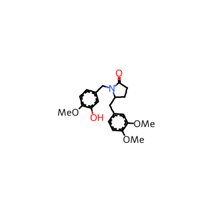 COc1ccc(CN2C(=O)CCC2Cc2ccc(OC)c(OC)c2)cc1O